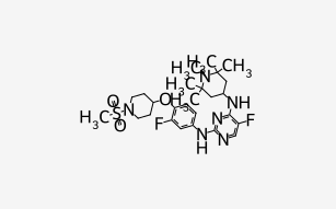 CN1C(C)(C)CC(Nc2nc(Nc3ccc(OC4CCN(S(C)(=O)=O)CC4)c(F)c3)ncc2F)CC1(C)C